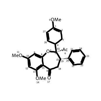 COC1=CCC([C@]2(C(C)=O)Oc3cc(OC)cc(OC)c3C(=O)C[C@H]2c2ccccc2)C=C1